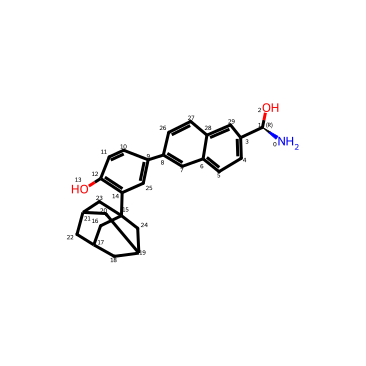 N[C@H](O)c1ccc2cc(-c3ccc(O)c(C45CC6CC(CC(C6)C4)C5)c3)ccc2c1